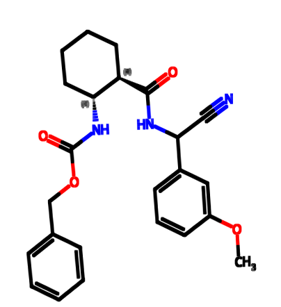 COc1cccc(C(C#N)NC(=O)[C@@H]2CCCC[C@H]2NC(=O)OCc2ccccc2)c1